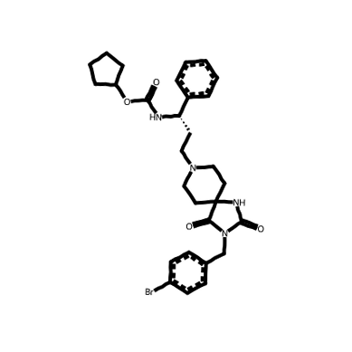 O=C(N[C@@H](CCN1CCC2(CC1)NC(=O)N(Cc1ccc(Br)cc1)C2=O)c1ccccc1)OC1CCCC1